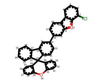 Clc1cccc2c1oc1cc(-c3ccc4c(c3)-c3ccccc3C43c4ccccc4Oc4ccccc43)ccc12